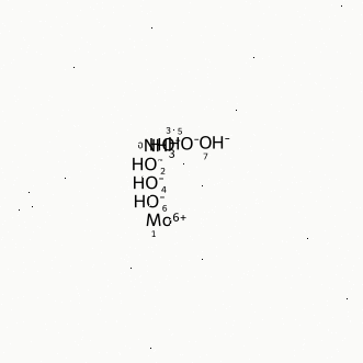 N.[Mo+6].[OH-].[OH-].[OH-].[OH-].[OH-].[OH-]